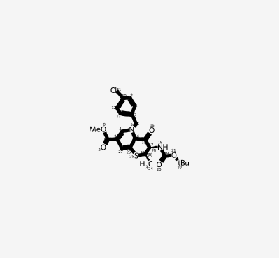 COC(=O)C1=CN(Cc2ccc(Cl)cc2)C2C(=O)[C@@H](NC(=O)OC(C)(C)C)[C@@H](C)SC2=C1